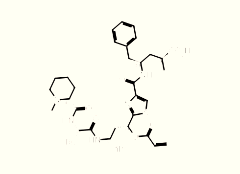 C=CC(=O)O[C@H](C[C@@H](NC(=O)[C@@H](NC(=O)[C@H]1CCCCN1C)[C@@H](C)CC)C(C)C)c1nc(C(=O)N[C@@H](Cc2ccccc2)C[C@H](C)C(=O)O)cs1